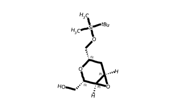 CC(C)(C)[Si](C)(C)OC[C@@H]1C[C@H]2O[C@H]2[C@H](CO)O1